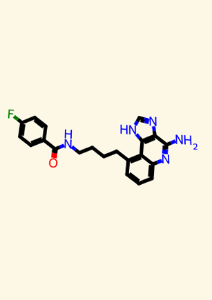 Nc1nc2cccc(CCCCNC(=O)c3ccc(F)cc3)c2c2[nH]cnc12